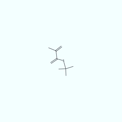 C=C(C)C(=C)SC(C)(C)C